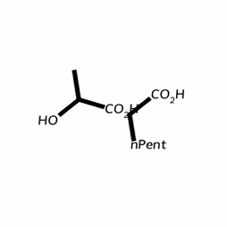 CC(O)C(=O)O.CCCCCCC(=O)O